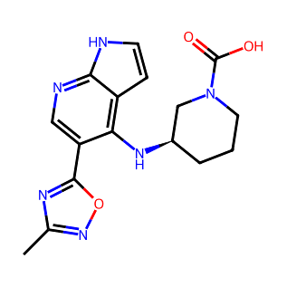 Cc1noc(-c2cnc3[nH]ccc3c2N[C@@H]2CCCN(C(=O)O)C2)n1